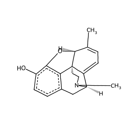 CC1=CC=C2[C@H]3Cc4ccc(O)c5c4[C@@]2(CCN3C)[C@H]1O5